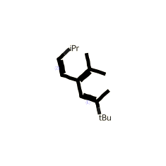 CC(C)=C(/C=C\C(C)C)/C=C(\C)C(C)(C)C